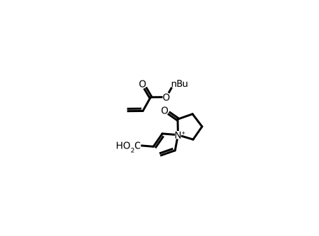 C=CC(=O)OCCCC.C=C[N+]1(C=CC(=O)O)CCCC1=O